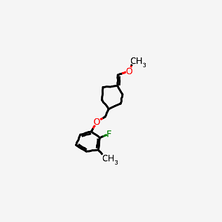 COC=C1CCC(COc2cccc(C)c2F)CC1